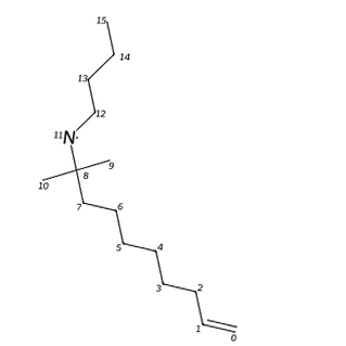 C=CCCCCCCC(C)(C)[N]CCCC